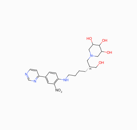 O=[N+]([O-])c1cc(-c2ccncn2)ccc1NCCCC[C@@H](CO)CN1CC(O)C(O)C(O)C1